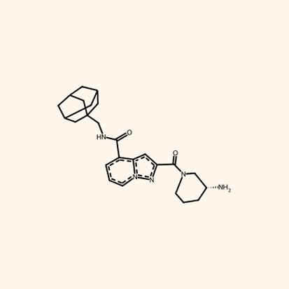 N[C@@H]1CCCN(C(=O)c2cc3c(C(=O)NCC45CC6CC(CC(C6)C4)C5)cccn3n2)C1